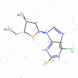 CC(=O)OC[C@H]1O[C@H](n2cnc3c(Cl)nc(Cl)nc32)C[C@@H]1OC(C)=O